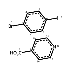 Brc1ccc(I)cc1.O=C(O)c1ccncc1